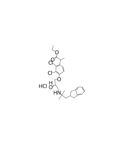 CCOC(=O)C(C)c1ccc(O[C@@H](C)[C@H](O)CNC(C)(C)CC2Cc3ccccc3C2)c(Cl)c1Cl.Cl